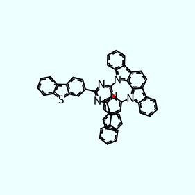 c1ccc(-c2cccc(-n3c4ccccc4c4ccc5c6ccccc6n(-c6nc(-c7ccccc7)nc(-c7ccc8c(c7)sc7ccccc78)n6)c5c43)c2)cc1